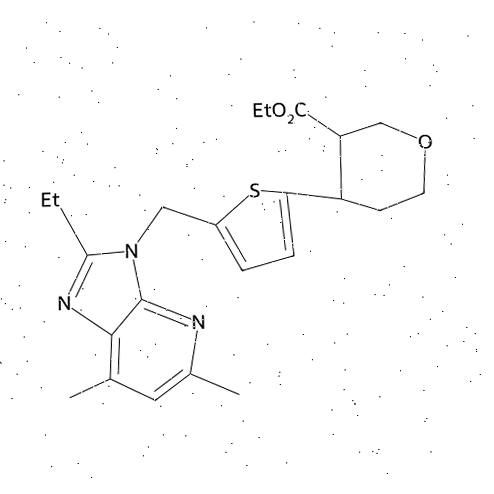 CCOC(=O)C1COCCC1c1ccc(Cn2c(CC)nc3c(C)cc(C)nc32)s1